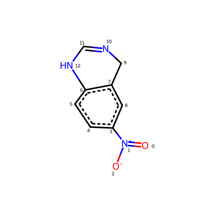 O=[N+]([O-])c1ccc2c(c1)CN=CN2